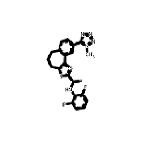 Cn1nnnc1-c1ccc2c(c1)-c1sc(C(=O)Nc3c(F)cccc3F)nc1CCC2